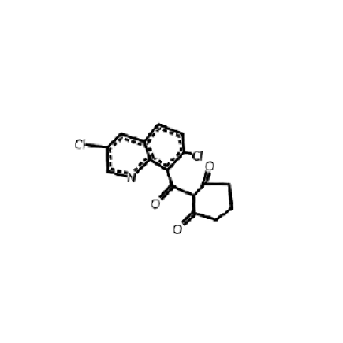 O=C1CCCC(=O)C1C(=O)c1c(Cl)ccc2cc(Cl)cnc12